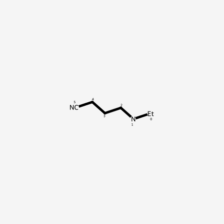 CC[N]CCCC#N